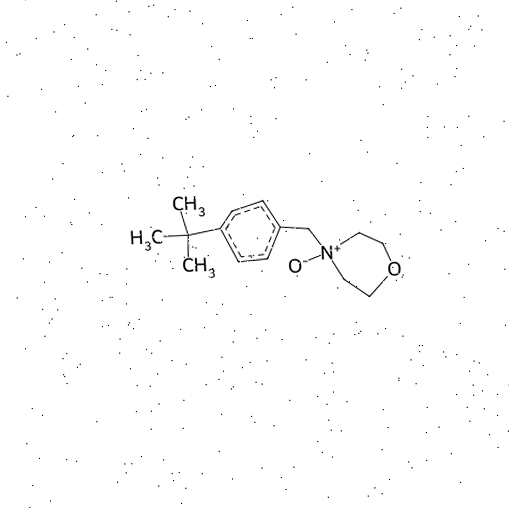 CC(C)(C)c1ccc(C[N+]2([O-])CCOCC2)cc1